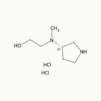 CN(CCO)[C@H]1CCNC1.Cl.Cl